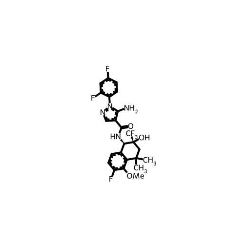 COc1c(F)ccc2c1C(C)(C)C[C@](O)(C(F)(F)F)[C@@H]2NC(=O)c1cnn(-c2ccc(F)cc2F)c1N